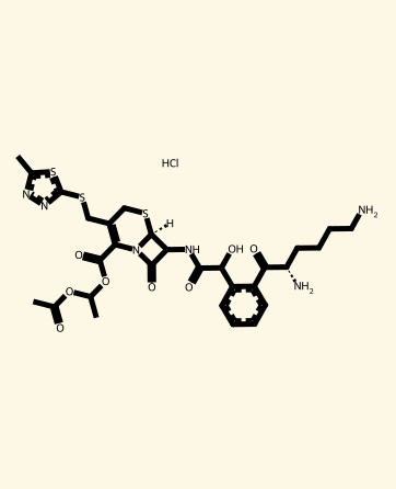 CC(=O)OC(C)OC(=O)C1=C(CSc2nnc(C)s2)CS[C@H]2C(NC(=O)C(O)c3ccccc3C(=O)[C@@H](N)CCCCN)C(=O)N12.Cl